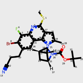 CSc1nc2c(F)c(Br)c(CCC#N)cc2c2c1cc(C)n2[C@H]1[C@@H]2C[C@H]1N(C(=O)OC(C)(C)C)C2